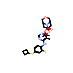 Cc1c(Nc2ccc(SC3CCC3)cc2F)ncnc1OC1CC2COCC(C1)N2C(=O)OC(C)C